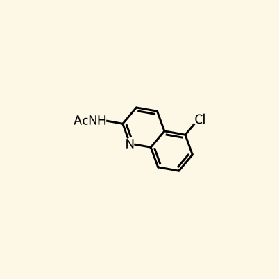 CC(=O)Nc1ccc2c(Cl)cccc2n1